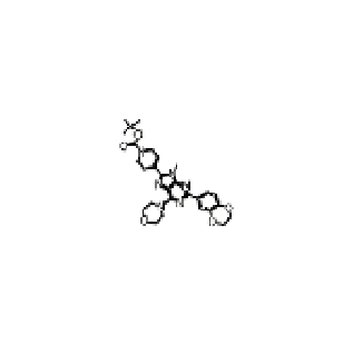 Cn1c(C2=CCN(C(=O)OC(C)(C)C)CC2)nc2c(N3CCOCC3)nc(-c3ccc4c(c3)OCCO4)nc21